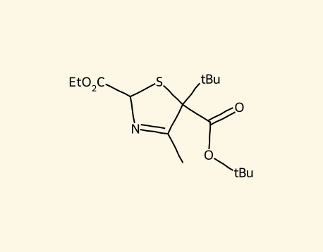 CCOC(=O)C1N=C(C)C(C(=O)OC(C)(C)C)(C(C)(C)C)S1